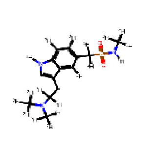 [2H]c1c(C([2H])([2H])S(=O)(=O)N([2H])C([2H])([2H])[2H])c([2H])c2c(CC([2H])([2H])N(C([2H])([2H])[2H])C([2H])([2H])[2H])cn([2H])c2c1[2H]